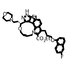 CCOC(=O)c1c(CCCOc2cccc3cc(F)ccc23)c2ccc(Cl)c3c2n1C/C=C\CO[C@H](CCN1CCOCC1)c1n[nH]c(CC)c1-3